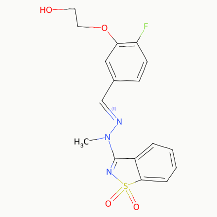 CN(/N=C/c1ccc(F)c(OCCO)c1)C1=NS(=O)(=O)c2ccccc21